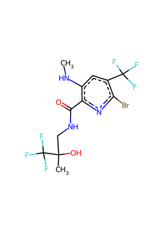 CNc1cc(C(F)(F)F)c(Br)nc1C(=O)NCC(C)(O)C(F)(F)F